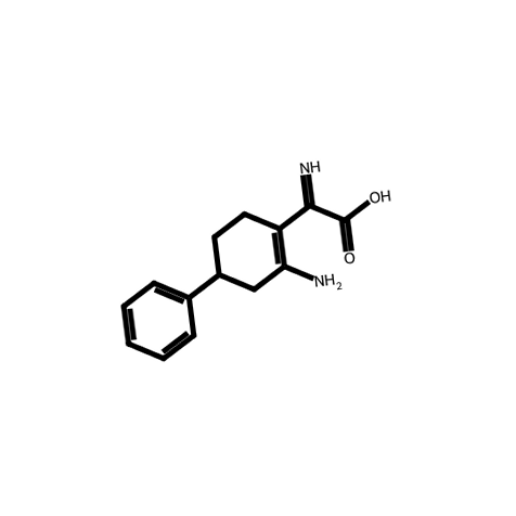 N=C(C(=O)O)C1=C(N)CC(c2ccccc2)CC1